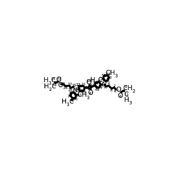 C=C(C)C(=O)OCCCCCN(c1ccc(C2=C([O-])C(=C3C=CC(=[N+](CCCCCOC(=O)C(=C)C)c4ccc(C)cc4C)C=C3)C2=O)cc1)c1ccc(C)cc1C